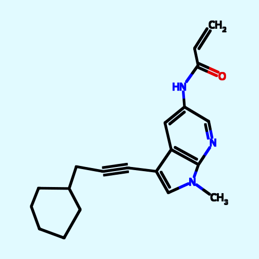 C=CC(=O)Nc1cnc2c(c1)c(C#CCC1CCCCC1)cn2C